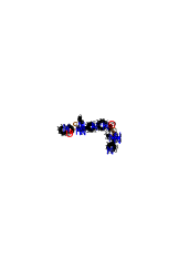 C=CCn1c(SC(C=O)CN2CCCCC2)nnc1-c1cc[n+](C2CCCN(C(=O)CSc3nnc(-c4ccncc4)n3CC)CC2)cc1